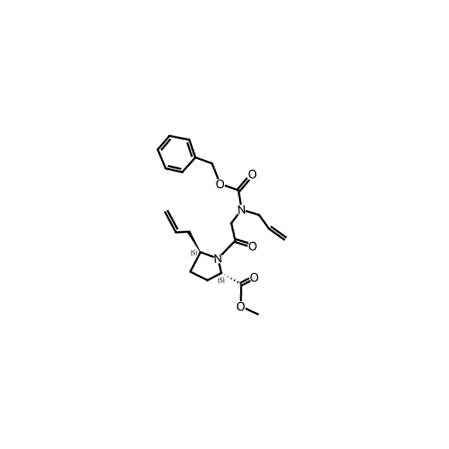 C=CC[C@@H]1CC[C@@H](C(=O)OC)N1C(=O)CN(CC=C)C(=O)OCc1ccccc1